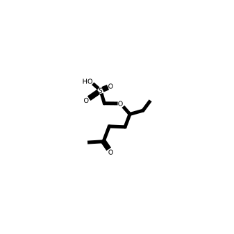 CCC(CCC(C)=O)OCS(=O)(=O)O